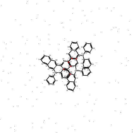 c1ccc(N(c2ccccc2)c2cc3ccccc3cc2-c2nc(-c3cc(N(c4ccccc4)c4ccccc4)c4ccccc4c3)nc(-c3cc4ccccc4cc3N(c3ccccc3)c3ccccc3)n2)cc1